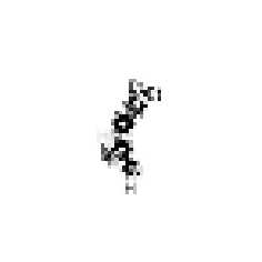 CCC(CC)N1CCN(c2ccc(Nc3ccc(-c4cn[nH]c4)n4ncnc34)cc2)CC1